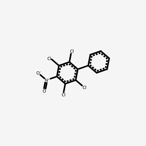 O=[N+]([O-])c1c(Cl)c(Cl)c(-c2ccccc2)c(Cl)c1Cl